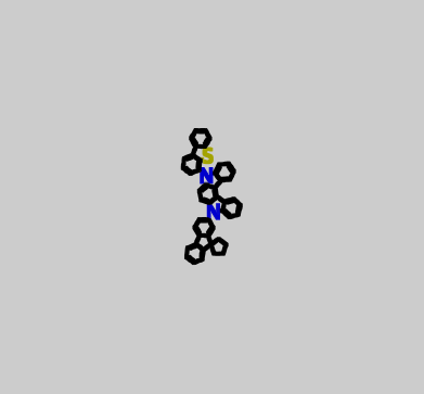 c1ccc2c(c1)-c1ccc(-n3c4ccccc4c4c5c6ccccc6n(-c6cccc7c6sc6ccccc67)c5ccc43)cc1C21CCCC1